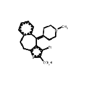 CCc1c(C(=O)O)sc2c1C(=C1CCN(C)CC1)c1ccccc1CC2